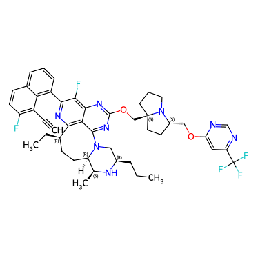 C#Cc1c(F)ccc2cccc(-c3nc4c5c(nc(OC[C@@]67CCCN6[C@H](COc6cc(C(F)(F)F)ncn6)CC7)nc5c3F)N3C[C@@H](CCC)N[C@@H](C)[C@H]3CC[C@H]4CC)c12